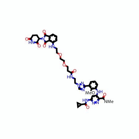 CNC(=O)c1nnc(NC(=O)C2CC2)cc1Nc1cccc(-c2ncn(CCNC(=O)CCOCCOCCNc3cccc4c3C(=O)N(C3CCC(=O)NC3=O)C4=O)n2)c1OC